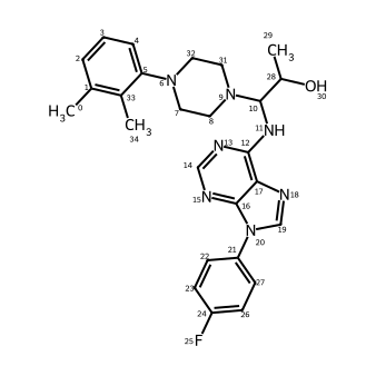 Cc1cccc(N2CCN(C(Nc3ncnc4c3ncn4-c3ccc(F)cc3)C(C)O)CC2)c1C